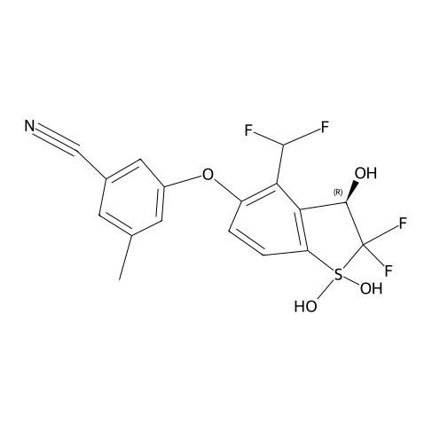 Cc1cc(C#N)cc(Oc2ccc3c(c2C(F)F)[C@@H](O)C(F)(F)S3(O)O)c1